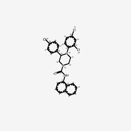 O=C(Nc1cccc2ccccc12)N1CCN(c2ccc(Cl)cc2Cl)C(c2ccc(Cl)cc2)C1